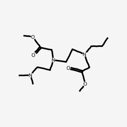 CCCN(CCN(CCN(C)C)CC(=O)OC)CC(=O)OC